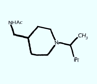 CC(=O)NCC1CCN(C(C)C(C)C)CC1